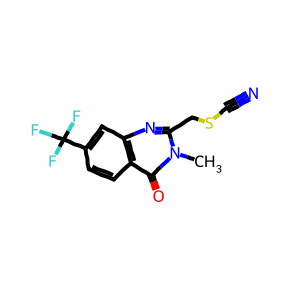 Cn1c(CSC#N)nc2cc(C(F)(F)F)ccc2c1=O